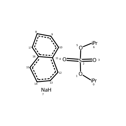 CC(C)OS(=O)(=O)OC(C)C.[NaH].c1ccc2ccccc2c1